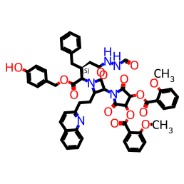 COc1ccccc1C(=O)OC1C(=O)N(C2C(=O)N(C(C(=O)OCc3ccc(O)cc3)[C@H](CC(=O)NNC=O)Cc3ccccc3)C2CCc2ccc3ccccc3n2)C(=O)C1OC(=O)c1ccccc1OC